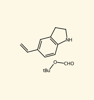 C=Cc1ccc2c(c1)CCN2.CC(C)(C)OC=O